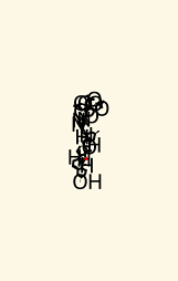 CC(=O)OC1[C@H](OC(C)=O)CO[C@@H](n2cc(CN3C[C@@H](C)C[C@H]4O[C@]5(CC[C@@H]6C(=C5C)C[C@H]5[C@H]6CC=C6C[C@@H](O)CC[C@@]65C)[C@H](C)[C@@H]43)nn2)[C@H]1OC(C)=O